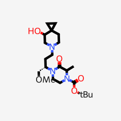 COC[C@H](CCN1CCC2(CC2)C(O)C1)N1CCN(C(=O)OC(C)(C)C)C(C)C1=O